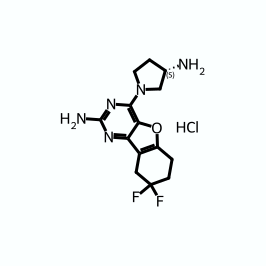 Cl.Nc1nc(N2CC[C@H](N)C2)c2oc3c(c2n1)CC(F)(F)CC3